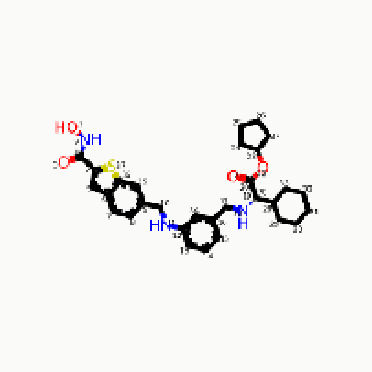 O=C(NO)c1cc2ccc(CNc3cccc(CN[C@H](C(=O)OC4CCCC4)C4CCCCC4)c3)cc2s1